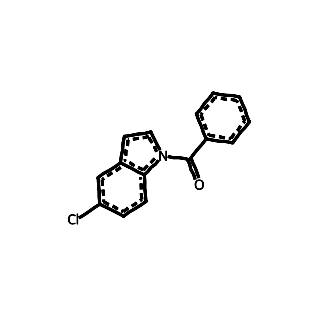 O=C(c1ccccc1)n1ccc2cc(Cl)ccc21